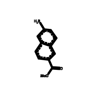 Bc1ccc2cc(C(=O)OC)ccc2c1